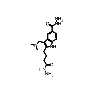 CN(C)Cc1c(CCCC(=O)NN)[nH]c2ccc(C(=O)NN)cc12